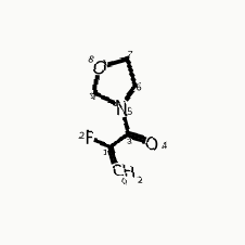 C=C(F)C(=O)N1CCOC1